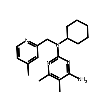 Cc1ccnc(CN(c2nc(C)c(C)c(N)n2)C2CCCCC2)c1